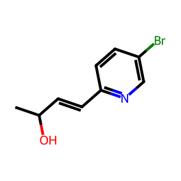 CC(O)C=Cc1ccc(Br)cn1